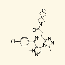 Cc1nnc2n1-c1cnn(C)c1C(c1ccc(Cl)cc1)=NC2CC(=O)N1CC2(COC2)C1